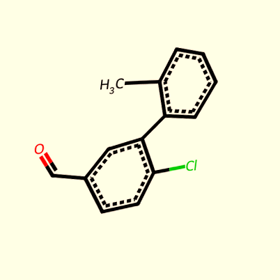 Cc1ccccc1-c1cc(C=O)ccc1Cl